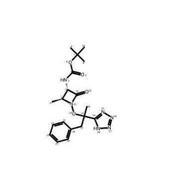 C[C@H]1[C@H](NC(=O)OC(C)(C)C)C(=O)N1OC(C)(Cc1ccccc1)c1nnn[nH]1